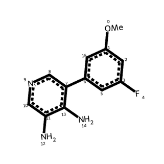 COc1cc(F)cc(-c2cncc(N)c2N)c1